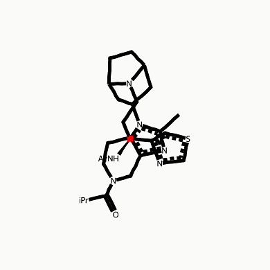 CC(=O)N[C@@H](CCN1C2CCC1CC(n1c(C)nc3c1CCN(C(=O)C(C)C)C3)C2)c1cscn1